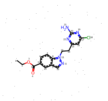 CCOC(=O)c1ccc2c(cnn2CCc2cc(Cl)nc(N)n2)c1